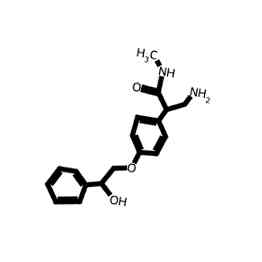 CNC(=O)C(CN)c1ccc(OCC(O)c2ccccc2)cc1